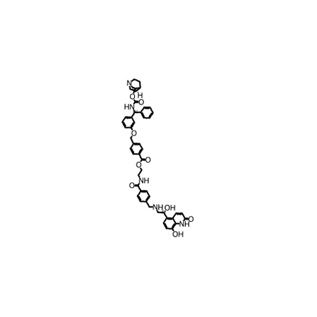 O=C(N[C@@H](c1ccccc1)c1cccc(OCc2ccc(C(=O)OCCNC(=O)c3ccc(CNC[C@H](O)c4ccc(O)c5[nH]c(=O)ccc45)cc3)cc2)c1)O[C@H]1CN2CCC1CC2